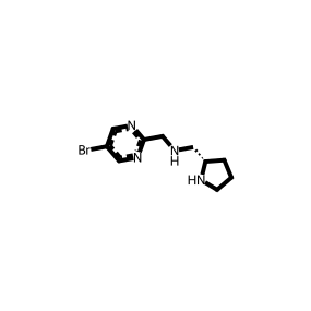 Brc1cnc(CNC[C@@H]2CCCN2)nc1